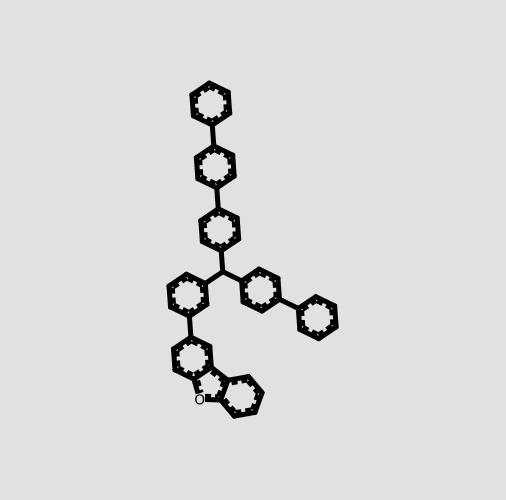 c1ccc(-c2ccc(-c3ccc(C(c4ccc(-c5ccccc5)cc4)c4cccc(-c5ccc6oc7ccccc7c6c5)c4)cc3)cc2)cc1